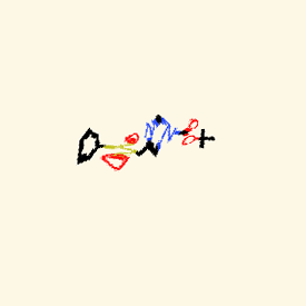 CC(C)(C)OC(=O)n1cnc(CS(=O)(=O)c2ccccc2)c1